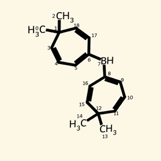 CC1(C)C=CC=C(BC2=CC=CC(C)(C)C=C2)C=C1